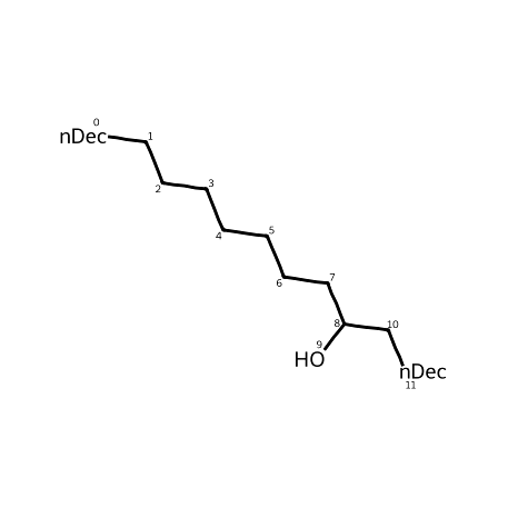 CCCCCCCCCCCCCCCCCC(O)CCCCCCCCCCC